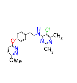 COc1ccc(Oc2ccc(CCNc3nc(C)nc(C)c3Cl)cc2)nn1